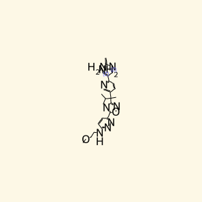 C=C(N)/N=C\C(=C/N)c1ccc(C(C)(c2noc(-c3ccc(NCCOC)nn3)n2)C(C)C)cn1